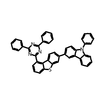 c1ccc(-c2nc(-c3ccccc3)nc(-c3cccc4sc5cc(-c6ccc7c(c6)c6ccccc6n7-c6ccccc6)ccc5c34)n2)cc1